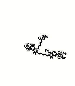 CCN1\C(=C/C=C/C=C/C2=[N+](CCCCCC(=O)OC(C)(C)C)c3ccc(P(=O)(OC)OC)cc3C2(C)C)C(C)(C)c2cc(P(=O)(OC)OC)ccc21